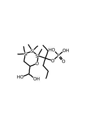 CCCC(CC)(OP(=O)(O)O)[Si]1(C)OC(C(O)O)C[Si](C)(C)[Si]1(C)C